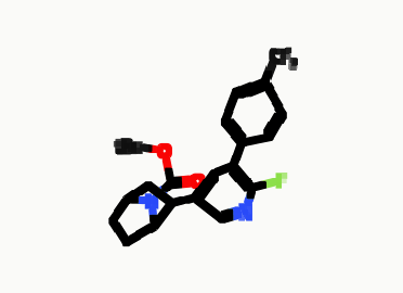 CC(C)(C)OC(=O)N1C2CCC1C(c1cnc(F)c(-c3ccc(C(F)(F)F)cc3)c1)C2